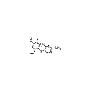 CCc1cc(OC)c(C)cc1Sc1cnc(N)nc1N